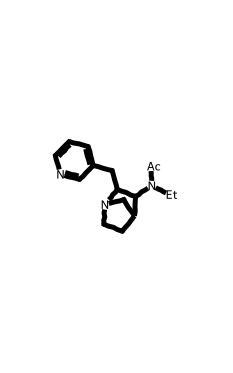 CCN(C(C)=O)C1C2CCN(C2)C1Cc1cccnc1